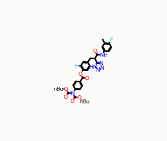 CCCCOC(=O)N(C(=O)OCCCC)c1ccc(C(=O)Oc2ccc(CC(C(=O)Nc3ccc(F)c(C)c3)c3nnn[nH]3)cc2F)cc1